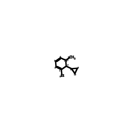 CCC1=CC=CN(C)C1C1CC1